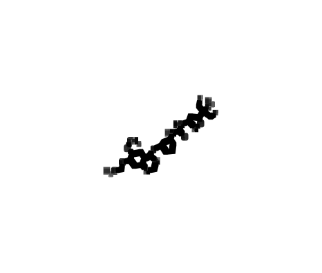 CCOc1cc2ncnc(Sc3cccc(NC(=O)Nc4cc(C(C)(CF)CF)on4)c3)c2cc1OC